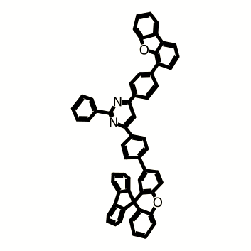 c1ccc(-c2nc(-c3ccc(-c4ccc5c(c4)C4(c6ccccc6O5)c5ccccc5-c5ccccc54)cc3)cc(-c3ccc(-c4cccc5c4oc4ccccc45)cc3)n2)cc1